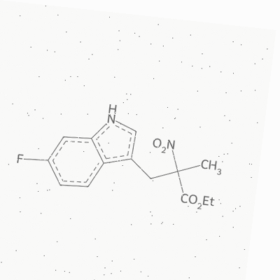 CCOC(=O)C(C)(Cc1c[nH]c2cc(F)ccc12)[N+](=O)[O-]